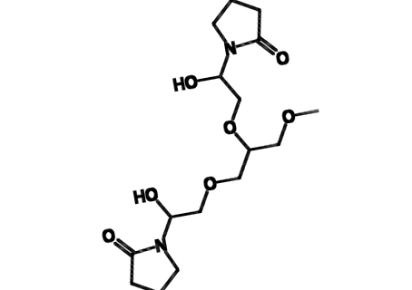 COCC(COCC(O)N1CCCC1=O)OCC(O)N1CCCC1=O